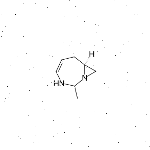 CC1NC=CC[C@H]2CN12